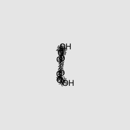 Cc1c(C)c2c(c(C)c1O)CCC(C)(CCOC(=O)CCCCCCCCC(=O)OCCC1(C)CCc3c(C)c(O)c(C)c(C)c3O1)O2